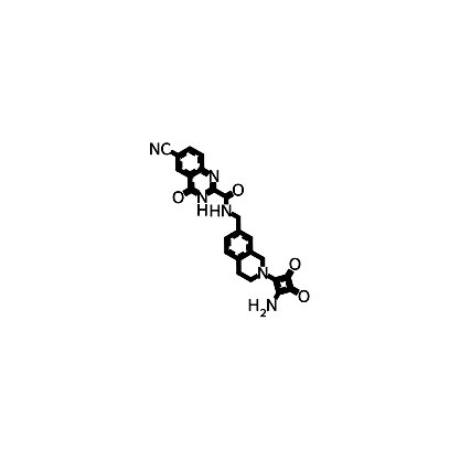 N#Cc1ccc2nc(C(=O)NCc3ccc4c(c3)CN(c3c(N)c(=O)c3=O)CC4)[nH]c(=O)c2c1